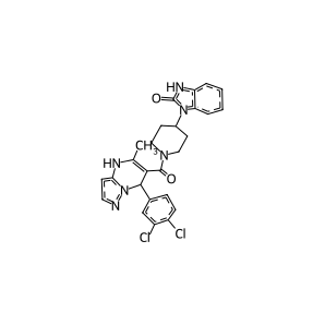 CC1=C(C(=O)N2CCC(n3c(=O)[nH]c4ccccc43)CC2)C(c2ccc(Cl)c(Cl)c2)n2nccc2N1